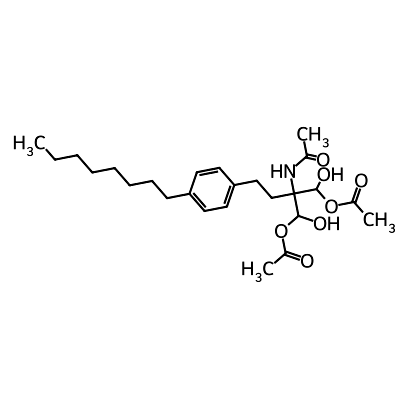 CCCCCCCCc1ccc(CCC(NC(C)=O)(C(O)OC(C)=O)C(O)OC(C)=O)cc1